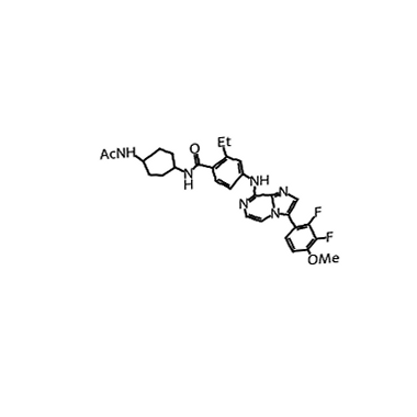 CCc1cc(Nc2nccn3c(-c4ccc(OC)c(F)c4F)cnc23)ccc1C(=O)NC1CCC(NC(C)=O)CC1